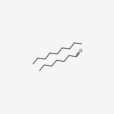 CCCCCCC=O.[CH2]CCCCCCCC